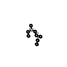 C1=CC2c3cc(-c4nc(-c5ccccc5)nc(-c5cccc(-c6ccccc6)c5)n4)ccc3OC2c2c1n(-c1ccc(-c3ccccc3)cc1)c1ccccc21